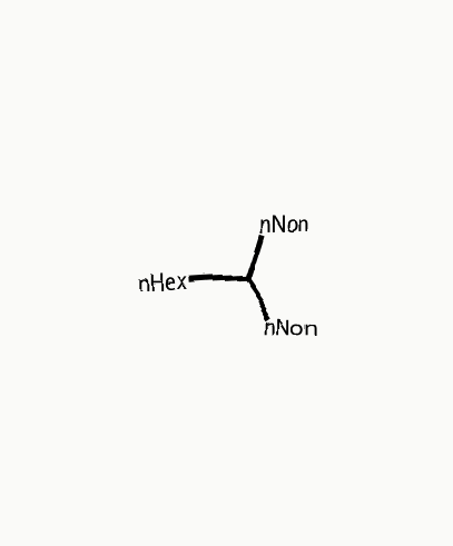 [CH2]CCCCCC(CCCCCCCCC)CCCCCCCCC